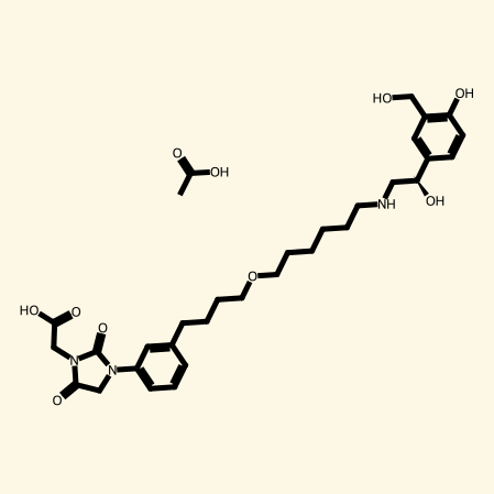 CC(=O)O.O=C(O)CN1C(=O)CN(c2cccc(CCCCOCCCCCCNC[C@H](O)c3ccc(O)c(CO)c3)c2)C1=O